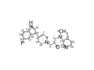 CN1CC(CN2CC=C(c3c[nH]c4ccc(F)cc34)CC2)Oc2ncccc21